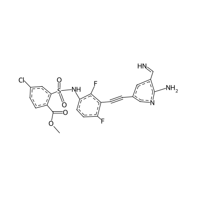 COC(=O)c1ccc(Cl)cc1S(=O)(=O)Nc1ccc(F)c(C#Cc2cnc(N)c(C=N)c2)c1F